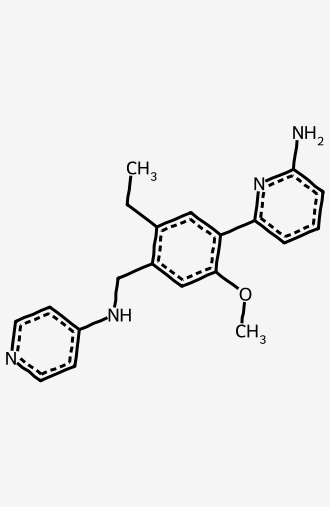 CCc1cc(-c2cccc(N)n2)c(OC)cc1CNc1ccncc1